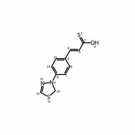 OC(=S)C=Cc1ccc(N2CSC=N2)cc1